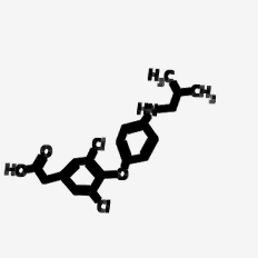 CC(C)CNc1ccc(Oc2c(Cl)cc(CC(=O)O)cc2Cl)cc1